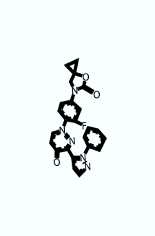 O=C1OC2(CC2)CN1c1ccc(-n2ccc(=O)c(-c3ccnn3-c3ccccc3)n2)c(F)c1